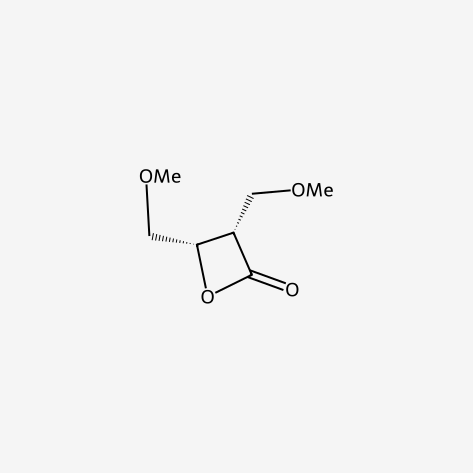 COC[C@@H]1C(=O)O[C@@H]1COC